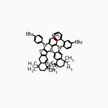 Cc1cc2c3c(c1)N(c1ccc(C(C)(C)C)cc1)c1sc4c(c1B3c1cc3c(cc1N2c1ccc(C(C)(C)C)cc1-c1ccccc1)C(C)(C)CCC3(C)C)C=C1C(C4)C(C)(C)CCC1(C)C